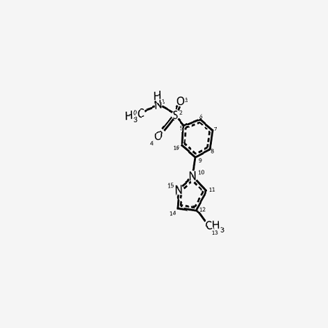 CNS(=O)(=O)c1cccc(-n2cc(C)cn2)c1